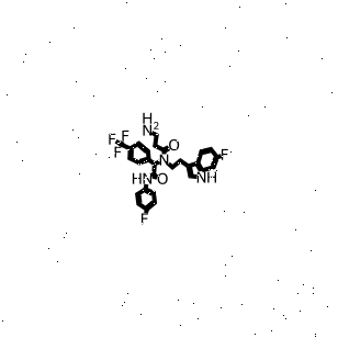 NCCC(=O)N(CCc1c[nH]c2cc(F)ccc12)C(C(=O)Nc1ccc(F)cc1)c1ccc(C(F)(F)F)cc1